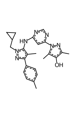 Cc1ccc(-c2nn(CC3CC3)c(Nc3cc(-n4nc(C)c(O)c4C)ncn3)c2C)cc1